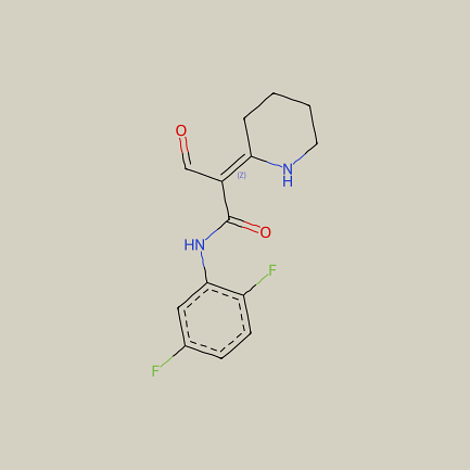 O=C/C(C(=O)Nc1cc(F)ccc1F)=C1\CCCCN1